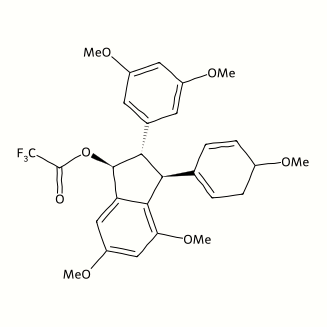 COc1cc(OC)cc([C@H]2[C@H](OC(=O)C(F)(F)F)c3cc(OC)cc(OC)c3[C@@H]2C2=CCC(OC)C=C2)c1